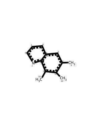 Cc1cc2cccnc2c(C)c1C